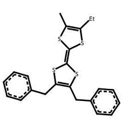 CCC1=C(C)SC(=C2SC(Cc3ccccc3)=C(Cc3ccccc3)S2)S1